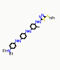 CCCSc1nnc(N=Nc2ccc(N=Nc3ccc(N=Nc4ccc(N(CC)CC)cc4)cc3)cc2C)s1